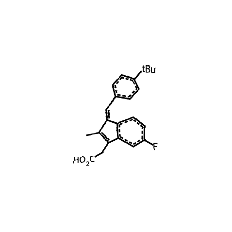 CC1=C(CC(=O)O)c2cc(F)ccc2C1=Cc1ccc(C(C)(C)C)cc1